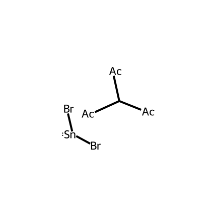 CC(=O)C(C(C)=O)C(C)=O.[Br][Sn][Br]